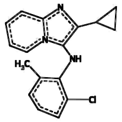 Cc1cccc(Cl)c1Nc1c(C2CC2)nc2ccccn12